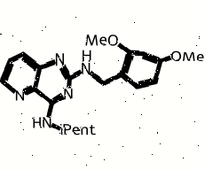 CCCC(C)Nc1nc(NCc2ccc(OC)cc2OC)nc2cccnc12